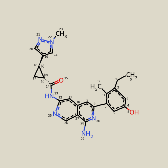 CCc1cc(O)cc(-c2cc3cc(NC(=O)[C@@H]4C[C@H]4c4cnn(C)c4)ncc3c(N)n2)c1C